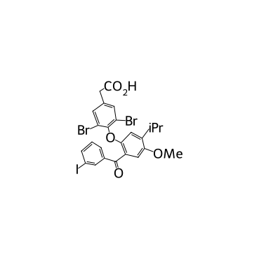 COc1cc(C(=O)c2cccc(I)c2)c(Oc2c(Br)cc(CC(=O)O)cc2Br)cc1C(C)C